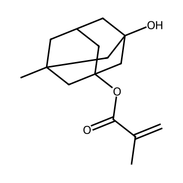 C=C(C)C(=O)OC12CC3CC(C)(CC(O)(C3)C1)C2